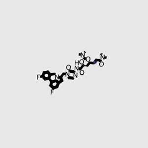 CN(C)C(=O)/C=C/CC[C@H](OC(=O)N(C)C)C(=O)Nc1nccn(Cc2cc3cc(F)cc4c3n2Cc2ccc(F)cc2-4)c1=O